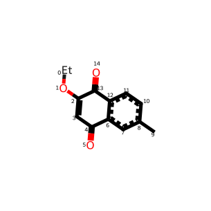 CCOC1=CC(=O)c2cc(C)ccc2C1=O